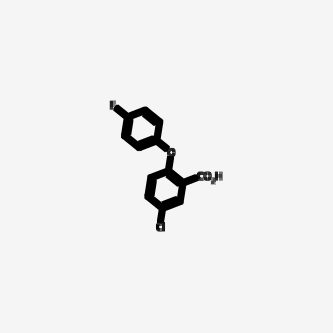 O=C(O)c1cc(Cl)ccc1Oc1ccc(F)cc1